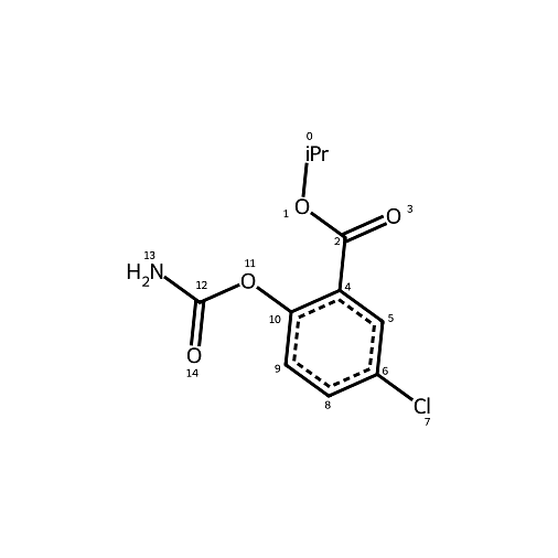 CC(C)OC(=O)c1cc(Cl)ccc1OC(N)=O